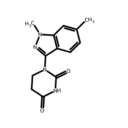 Cc1ccc2c(N3CCC(=O)NC3=O)nn(C)c2c1